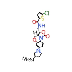 CN[C@@H]1CCN(c2ccc3c(c2)OC[C@H]2[C@H](CNC(=O)c4ccc(Cl)s4)OC(=O)N32)C1